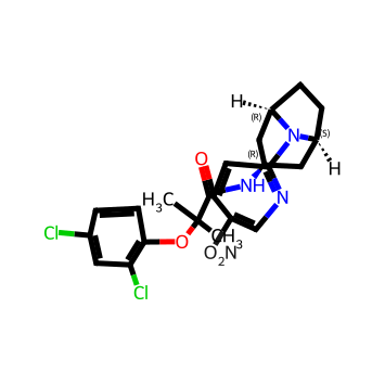 CC(C)(Oc1ccc(Cl)cc1Cl)C(=O)N[C@H]1C[C@H]2CC[C@@H](C1)N2c1ccc([N+](=O)[O-])cn1